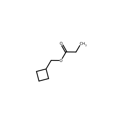 CCC(=O)OCC1CCC1